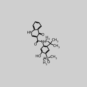 CC(C)(C)c1cc([SH](C)(C)=O)c(O)cc1NC(=O)c1c[nH]c2ccccc2c1=O